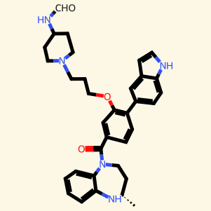 C[C@H]1CCN(C(=O)c2ccc(-c3ccc4[nH]ccc4c3)c(OCCCN3CCC(NC=O)CC3)c2)c2ccccc2N1